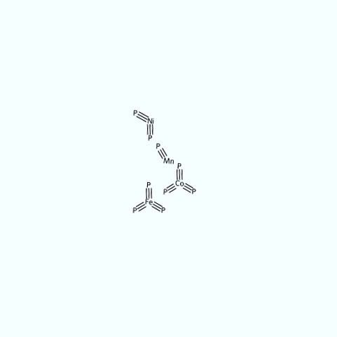 [P]#[Co](#[P])#[P].[P]#[Fe](#[P])#[P].[P]#[Mn].[P]#[Ni]#[P]